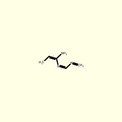 C=N/C=N\C(N)=C/C